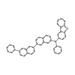 c1ccc(-c2ccc3ccc(-c4ccc5ccc(N(c6ccccc6)c6ccc7oc8ccccc8c7c6)cc5c4)cc3c2)cc1